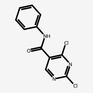 O=C(Nc1ccccc1)c1cnc(Cl)nc1Cl